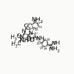 CNN(C)c1nc(Cl)c(-c2cccc(N)c2)n(CC(=O)NCc2ccc(C(=N)N)cc2)c1=O